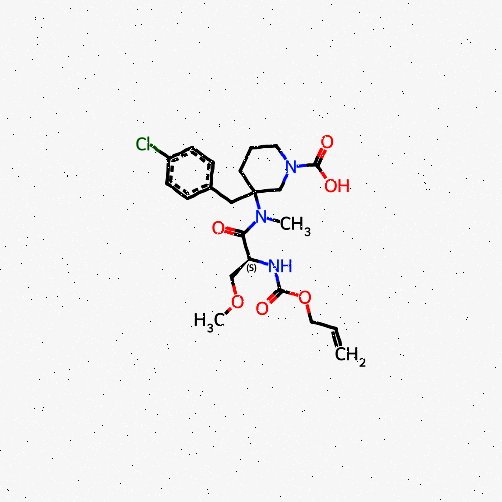 C=CCOC(=O)N[C@@H](COC)C(=O)N(C)C1(Cc2ccc(Cl)cc2)CCCN(C(=O)O)C1